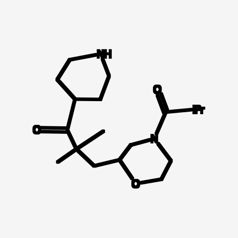 CC(C)C(=O)N1CCOC(CC(C)(C)C(=O)C2CCNCC2)C1